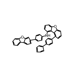 c1ccc(-c2ccc(-c3cccc4oc5cccc(Nc6ccc(-c7ccc8c(c7)oc7ccccc78)cc6)c5c34)cc2)cc1